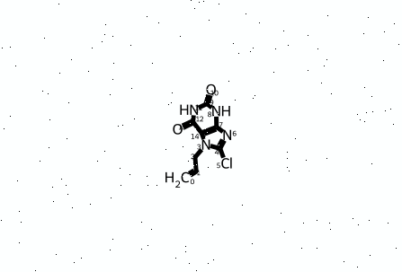 C=CCn1c(Cl)nc2[nH]c(=O)[nH]c(=O)c21